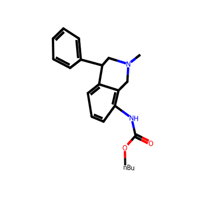 CCCCOC(=O)Nc1cccc2c1CN(C)CC2c1ccccc1